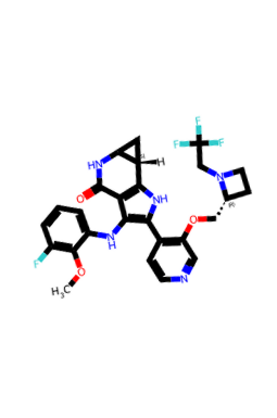 COc1c(F)cccc1Nc1c(-c2ccncc2OC[C@H]2CCN2CC(F)(F)F)[nH]c2c1C(=O)NC1C[C@H]21